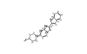 FC1CCN(c2ccn3cc(-c4cc5ccccc5s4)nc3n2)CC1